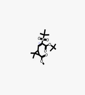 COC(=O)C1C(/C=C(\C(=O)OC(C)(C)C)S(=O)(=O)C(C)(C)C)C1(C)C